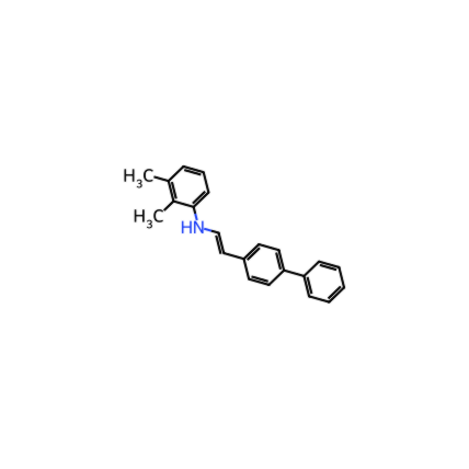 Cc1cccc(NC=Cc2ccc(-c3ccccc3)cc2)c1C